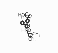 C[C@@H]1CC(CC(=O)Nc2cnc(-c3ccc(C4(NC(=O)O)COC4)cc3)c(-c3ccccc3)c2)C[C@H](C)O1